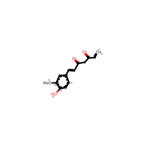 C=CC(=O)CC(=O)C=Cc1ccc(O)c(OC)c1